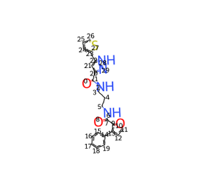 O=C(NCCCNC(=O)c1occc1-c1ccccc1)c1cc(-c2cccs2)[nH]n1